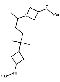 CC(CCC(C)(C)N1CC(NC(C)(C)C)C1)N1CC(NC(C)(C)C)C1